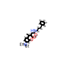 CCN(CC)c1ccc2c(C)c(CC(=O)NCCCc3ccccc3)c(=O)oc2c1